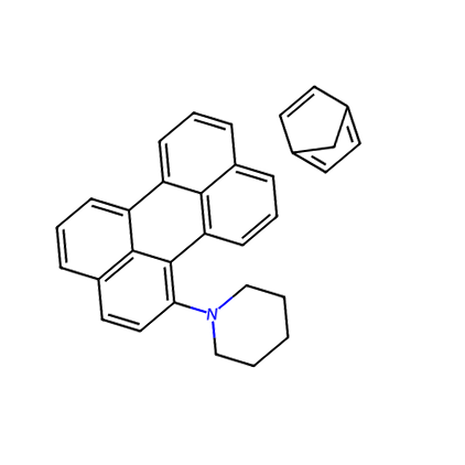 C1=CC2=CC=C1C2.c1cc2cccc3c4c(N5CCCCC5)ccc5cccc(c(c1)c23)c54